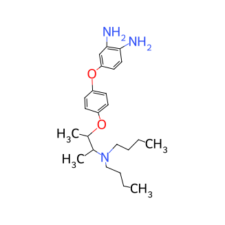 CCCCN(CCCC)C(C)C(C)Oc1ccc(Oc2ccc(N)c(N)c2)cc1